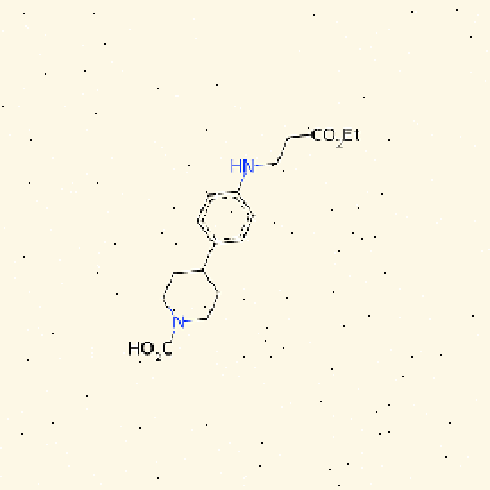 CCOC(=O)CCNc1ccc(C2CCN(C(=O)O)CC2)cc1